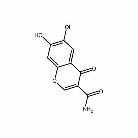 NC(=O)c1coc2cc(O)c(O)cc2c1=O